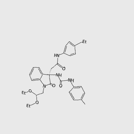 CCOC(CN1C(=O)[C@](CC(=O)Nc2ccc(CC)cc2)(NC(=O)Nc2ccc(C)cc2)c2ccccc21)OCC